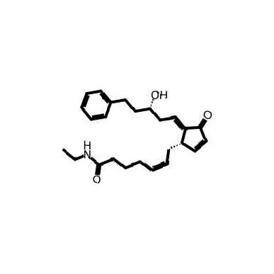 CCNC(=O)CCC/C=C\C[C@H]1C=CC(=O)/C1=C/C[C@@H](O)CCc1ccccc1